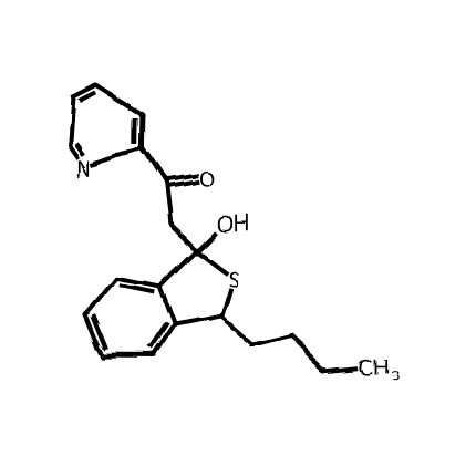 CCCCC1SC(O)(CC(=O)c2ccccn2)c2ccccc21